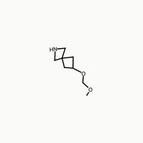 COCOC1CC2(CNC2)C1